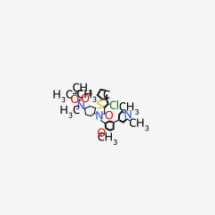 COc1ccc(-c2cc(C)nc(C)c2)cc1CN(C(=O)c1sc2ccccc2c1Cl)[C@H]1CC[C@H](N(C)C(=O)OC(C)(C)C)CC1